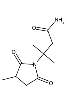 CC1CC(=O)N(C(C)(C)CC(N)=O)C1=O